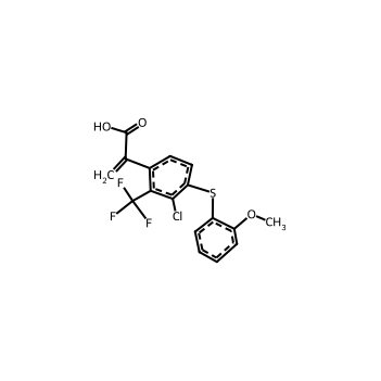 C=C(C(=O)O)c1ccc(Sc2ccccc2OC)c(Cl)c1C(F)(F)F